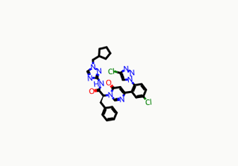 O=C(Nc1ncn(CC2CCCC2)n1)[C@H](Cc1ccccc1)n1cnc(-c2cc(Cl)ccc2-n2cc(Cl)nn2)cc1=O